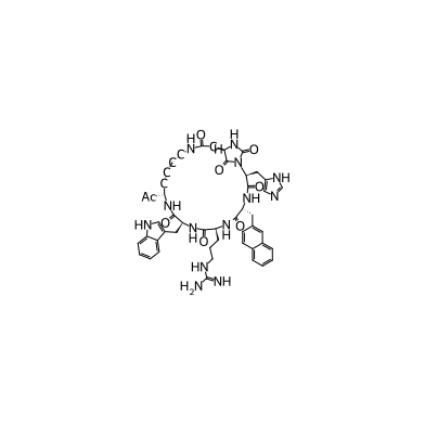 CC(=O)[C@@H]1CCCCNC(=O)C[C@@H]2NC(=O)N(C2=O)[C@@H](Cc2cnc[nH]2)C(=O)N[C@H](Cc2ccc3ccccc3c2)C(=O)N[C@@H](CCCNC(=N)N)C(=O)N[C@@H](Cc2c[nH]c3ccccc23)C(=O)N1